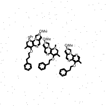 CCCN1CC(C)=C(OCCCc2ccccc2)C2=C1N1CN(OC)C=C1C=N2.CON1C=C2C=NC3=C(N(C)CC(C)=C3OCCc3ccccc3)N2C1.CON1C=C2C=Nc3c(ncc(C)c3OCCc3ccccc3)N2C1